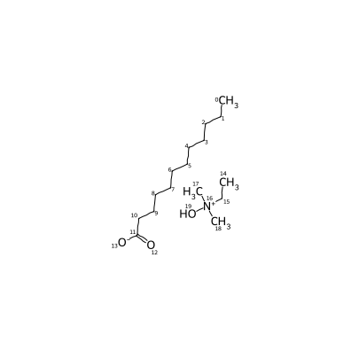 CCCCCCCCCCCC(=O)[O-].CC[N+](C)(C)O